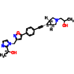 CC(O)CN1C[C@@H]2[C@@H](C#Cc3ccc(-c4cc(Cn5ccnc5[C@H](C)O)no4)cc3)[C@@H]2C1